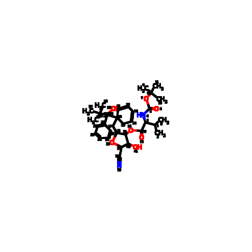 CC(C)[C@H](NC(=O)OC(C)(C)C)C(=O)OC1C(CC2([Si](O)(c3ccccc3)C(C)(C)C)C=CC=CC2)OC(C#N)C1O